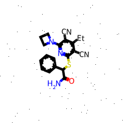 CCc1c(C#N)c(SC(C(N)=O)c2ccccc2)nc(N2CCC2)c1C#N